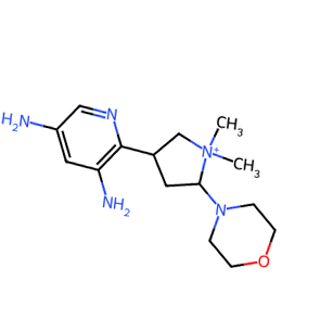 C[N+]1(C)CC(c2ncc(N)cc2N)CC1N1CCOCC1